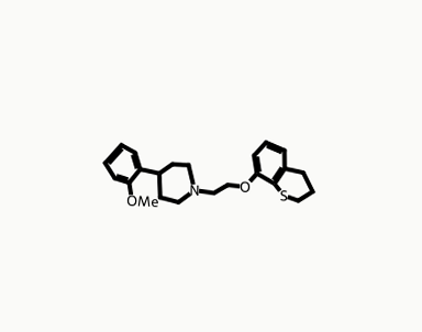 COc1ccccc1C1CCN(CCOc2cccc3c2SCCC3)CC1